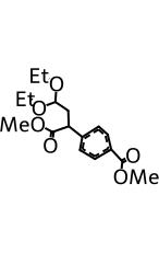 CCOC(CC(C(=O)OC)c1ccc(C(=O)OC)cc1)OCC